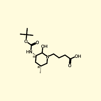 C[C@@H]1C[C@H](NC(=O)OC(C)(C)C)C(O)N(CCCC(=O)O)C1